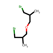 CC(CBr)COCC(C)CBr